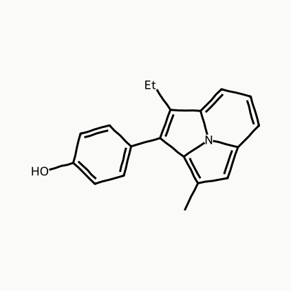 CCc1c(-c2ccc(O)cc2)c2c(C)cc3cccc1n32